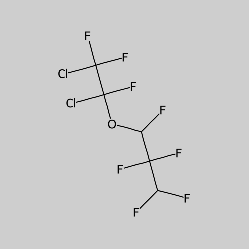 FC(F)C(F)(F)C(F)OC(F)(Cl)C(F)(F)Cl